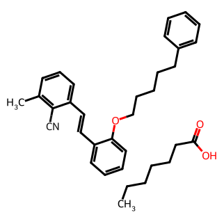 CCCCCCC(=O)O.Cc1cccc(C=Cc2ccccc2OCCCCCc2ccccc2)c1C#N